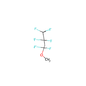 COC(F)(F)C(F)(F)[C](F)F